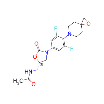 CC(=O)NC[C@H]1CN(c2cc(F)c(N3CCC4(CC3)CO4)c(F)c2)C(=O)O1